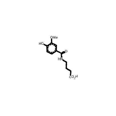 COc1cc(C(=O)NCCCC(=O)O)ccc1O